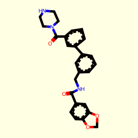 O=C(NCc1cccc(-c2cccc(C(=O)N3CCNCC3)c2)c1)c1ccc2c(c1)OCO2